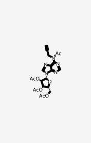 C#CCN(C(C)=O)c1ncnc2c1ncn2[C@@H]1O[C@H](COC(C)=O)[C@@H](OC(C)=O)[C@H]1OC(C)=O